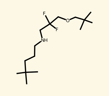 CC(C)(C)CCCNCC(F)(F)COCC(C)(C)C